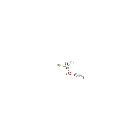 F[SiH](F)O[SiH3]